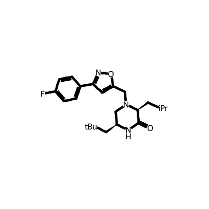 CC(C)C[C@H]1C(=O)N[C@@H](CC(C)(C)C)CN1Cc1cc(-c2ccc(F)cc2)no1